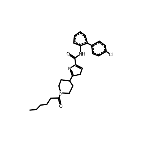 CCCCCC(=O)N1CCC(C2=NC(C(=O)Nc3ccccc3-c3ccc(Cl)cc3)=CC2)CC1